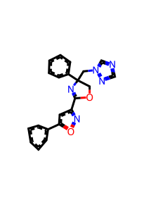 c1ccc(-c2cc(C3=NC(Cn4cncn4)(c4ccccc4)CO3)no2)cc1